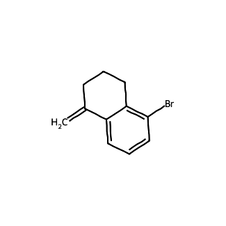 C=C1CCCc2c(Br)cccc21